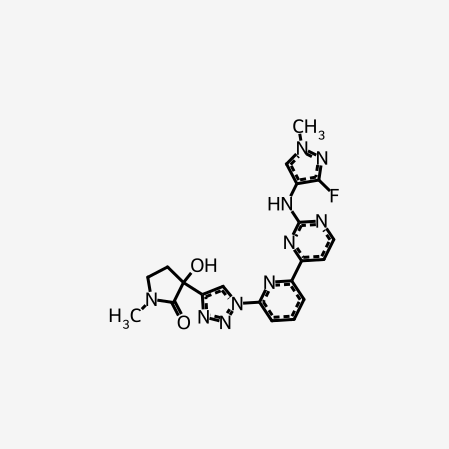 CN1CCC(O)(c2cn(-c3cccc(-c4ccnc(Nc5cn(C)nc5F)n4)n3)nn2)C1=O